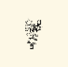 CC(NC(=O)C1(N)CCCC1)C(Cc1ccc(Cl)cc1)c1ccc(Cl)cc1